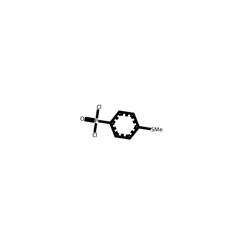 CSc1ccc(P(=O)(Cl)Cl)cc1